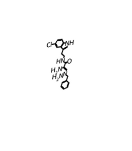 N/C(=C\N(N)Cc1ccccc1)C(=O)NCCc1c[nH]c2ccc(Cl)cc12